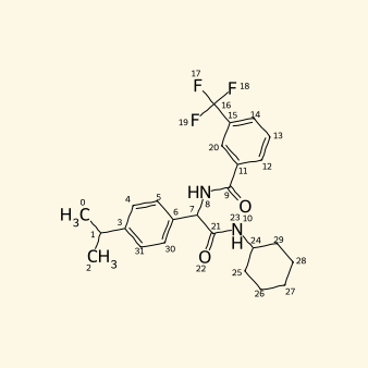 CC(C)c1ccc(C(NC(=O)c2cccc(C(F)(F)F)c2)C(=O)NC2CCCCC2)cc1